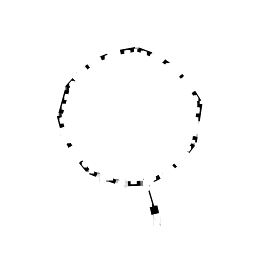 N#Cn1nncccccccccccccccco1